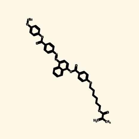 C=C(C)C(=O)OCCCCCCOc1ccc(C(=O)Oc2ccc(/N=N/c3ccc(C(=O)Oc4ccc(OCCCC)cc4)cc3)c3ccccc23)cc1